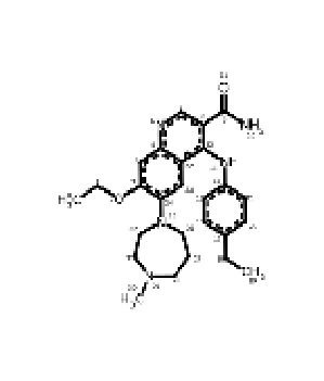 CCOc1cc2ncc(C(N)=O)c(Nc3ccc(CC)cc3)c2cc1N1CCCN(C)CC1